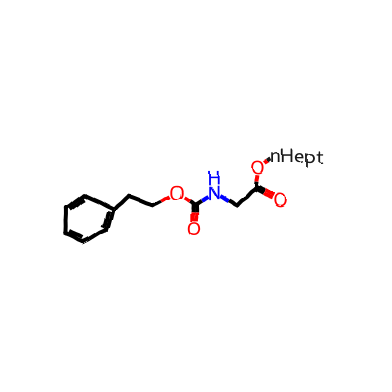 CCCCCCCOC(=O)CNC(=O)OCCc1ccccc1